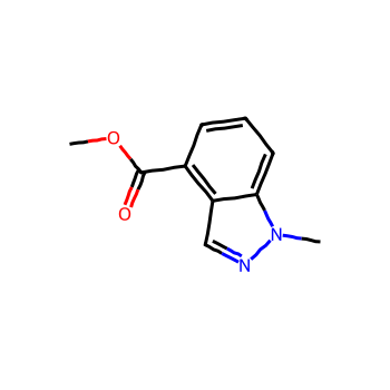 COC(=O)c1cccc2c1cnn2C